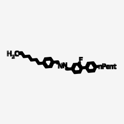 C=CCCCCCc1ccc(C=NN=Cc2ccc(-c3ccc(CCCCC)cc3)c(F)c2)cc1